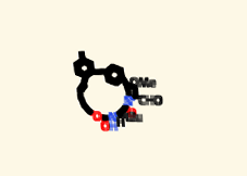 CO[C@@]12C[C@@H](C=O)N(C1)C(=O)[C@H](C(C)(C)C)NC(=O)OCCC/C=C/c1ccc(C)cc1-c1ccc2cc1